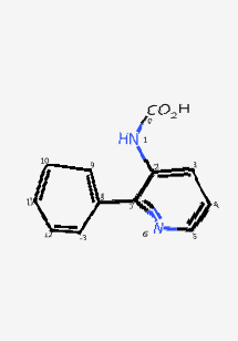 O=C(O)Nc1cccnc1-c1ccccc1